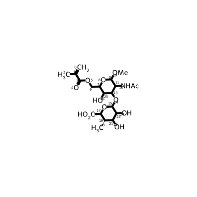 C=C(C)C(=O)OCC1OC(OC)C(NC(C)=O)C(OC2OC(C(=O)O)[C@@H](C)C(O)C2O)C1O